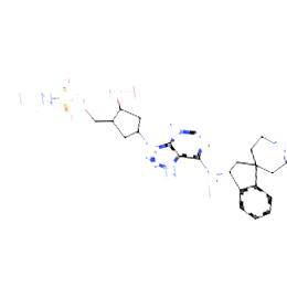 NS(=O)(=O)OCC1CC(n2nnc3c(N[C@H]4CC5(CCNCC5)c5ccccc54)ncnc32)CC1O